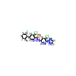 Cc1cccc(F)c1-c1ccc(C(=O)Nc2cnc(-n3nccn3)c(Cl)c2)c(Cl)c1